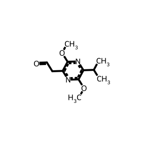 COc1nc(C(C)C)c(OC)nc1CC=O